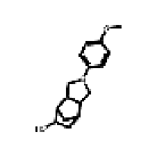 COc1ccc(N2CC3C4CC(O)C(C4)C3C2)cc1